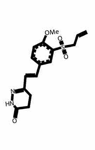 C=CCS(=O)(=O)c1cc(C=CC2=NNC(=O)CC2)ccc1OC